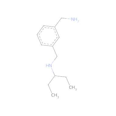 CCC(CC)NCc1cccc(CN)c1